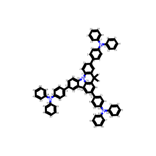 CC1(C)c2cc(-c3ccc(N(c4ccccc4)c4ccccc4)cc3)ccc2-n2c3ccc(-c4ccc(N(c5ccccc5)c5ccccc5)cc4)cc3c3cc(-c4ccc(N(c5ccccc5)c5ccccc5)cc4)cc1c32